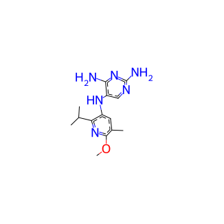 COc1nc(C(C)C)c(Nc2cnc(N)nc2N)cc1C